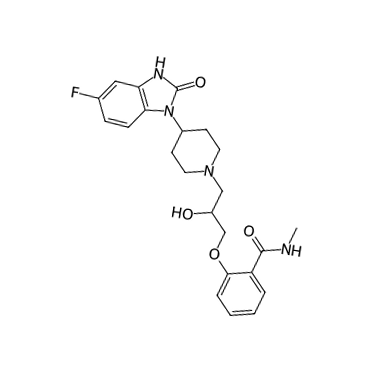 CNC(=O)c1ccccc1OCC(O)CN1CCC(n2c(=O)[nH]c3cc(F)ccc32)CC1